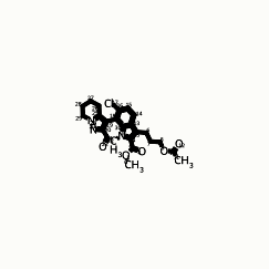 COC(=O)c1c(CCCOC(C)=O)c2ccc(Cl)c(-c3c(C=O)nn4c3CCCC4)c2n1C